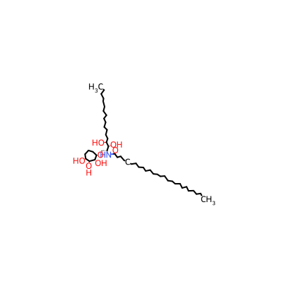 CCCCCCCCCCCCCCCCCCCCCCCCCC(=O)N[C@H](CO[C@H]1CCC[C@H](O)[C@H](O)[C@@H]1O)[C@@H](O)[C@@H](O)CCCCCCCCCCCCCC